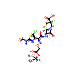 CC(C)(C)OC(=O)CON=C(C(=O)NC1C(=O)N2CC(Cl)(C(=O)O)CS[C@H]12)c1nc(NC=O)sc1Cl